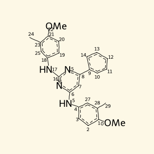 COc1ccc(Nc2cc(-c3ccccc3)nc(Nc3ccc(OC)c(C)c3)n2)cc1C